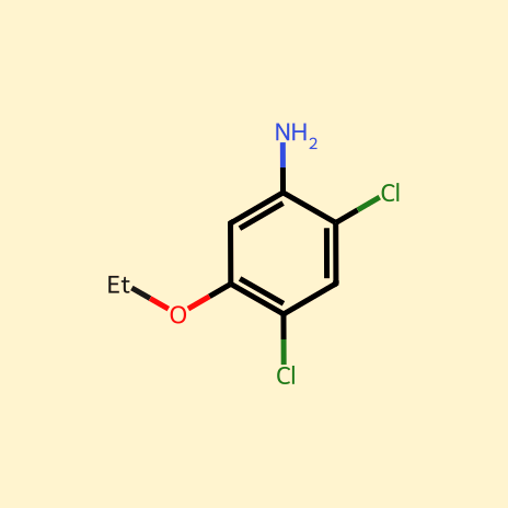 CCOc1cc(N)c(Cl)cc1Cl